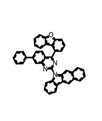 c1ccc(-c2ccc3c(-c4cccc5oc6ccccc6c45)nc(-n4c5ccccc5c5cc6ccccc6cc54)nc3c2)cc1